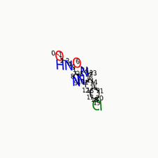 COCCNC(=O)c1cnn2c(C)c(Cc3ccc(Cl)cc3)c(C)nc12